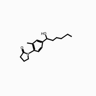 CCCCCC(O)c1ccc(N2CCCC2=O)c(C)c1